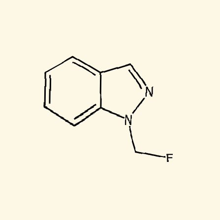 FCn1ncc2ccccc21